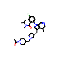 CC(=O)N1CCC(CN2CC[C@H](Cc3cn(-c4ccc(F)cc4C(=O)N(C)C(C)C)c4c3C(C)CN=C4)C2)CC1